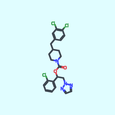 O=C(OC(Cn1nccn1)c1ccccc1Cl)N1CCC(Cc2ccc(Cl)c(Cl)c2)CC1